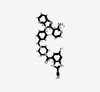 N#Cc1nc2cc(F)cc(C(=O)N3CCN(Cc4ccc(-n5c(-c6cccnc6N)nc6cccnc65)cc4)CC3)c2s1